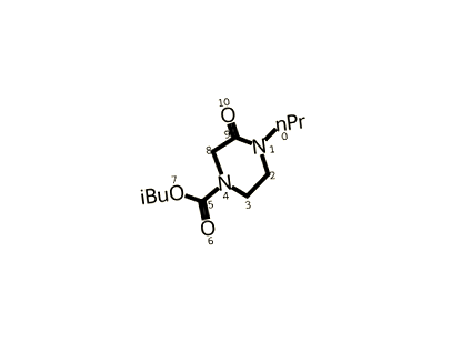 CCCN1CCN(C(=O)OCC(C)C)CC1=O